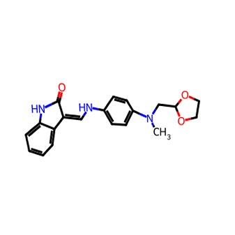 CN(CC1OCCO1)c1ccc(NC=C2C(=O)Nc3ccccc32)cc1